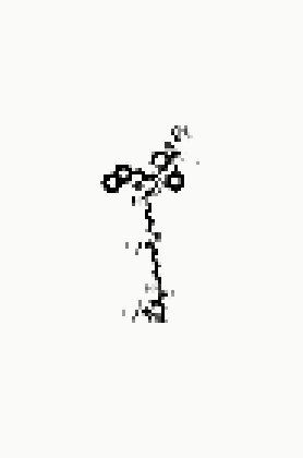 C=C(C)NC(CS)C(=O)NCCCCCC(=C)NCCCCNC(=O)NC(Cc1ccc2ccccc2c1)C(=O)N1CCC[C@@](Cc2ccccc2)(C(=C)NCC)C1